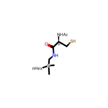 CCCCCC[Si](C)(C)CNC(=O)[C@H](CS)NC(C)=O